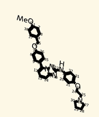 COc1ccc(COc2ccc(-c3cccc4nc(Nc5ccc(OCCN6CCCC6)cc5)nn34)cc2)cc1